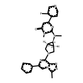 Cc1nnc2c(N3C[C@@H]4[C@H](C3)[C@@H]4N(C)c3nc(-c4ccncc4F)cc(=O)n3C)nc(-c3ccccc3)cn12